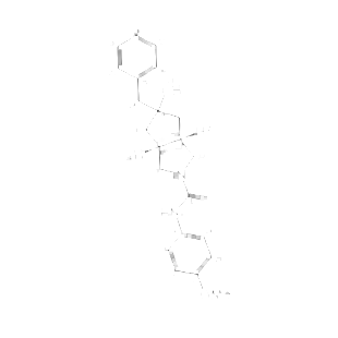 COc1ccc(NC(=O)N2C[C@@H]3CC(O)(Cc4ccccc4)C[C@@H]3C2)cc1